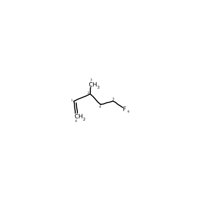 C=CC(C)CCF